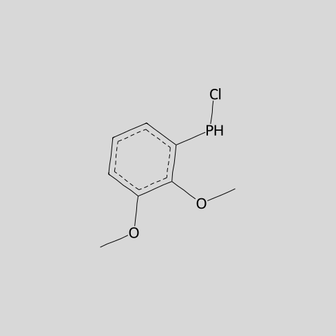 COc1cccc(PCl)c1OC